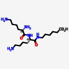 NCCCC[C@H](NC(=O)[C@@H](N)CCCCN)C(=O)NCCCCCC(=O)O